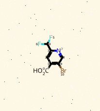 O=C(O)c1cc(C(F)F)ncc1Br